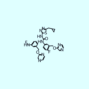 FNc1cccc(COc2cnccn2)c1.O=C(Nc1ccc(F)c(COc2cnccn2)c1)Nc1nnc(CC2CC2)s1